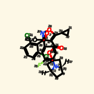 CC(C)COC(=O)c1ccc(N2[C@@H]3CC[C@H]2C[C@@H](OC(=O)c2c(-c4c(Cl)cccc4Cl)noc2C2CC2)C3)c(F)c1